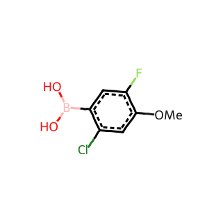 COc1cc(Cl)c(B(O)O)cc1F